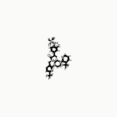 CC(C(=O)NCc1ccc(C(F)(F)F)nc1N1CCN(c2ncccc2C(F)(F)F)CC1)c1ccc(NS(C)(=O)=O)c(F)c1